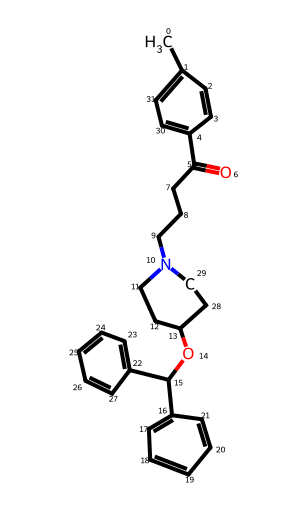 Cc1ccc(C(=O)CCCN2CCC(OC(c3ccccc3)c3ccccc3)CC2)cc1